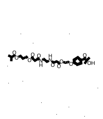 CC(C)C(=O)OCCCOC(=O)CC(=O)NCCNC(=O)CC(=O)OCCOc1ccc(C(=O)C(C)(C)O)cc1